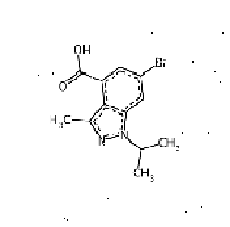 Cc1nn(C(C)C)c2cc(Br)cc(C(=O)O)c12